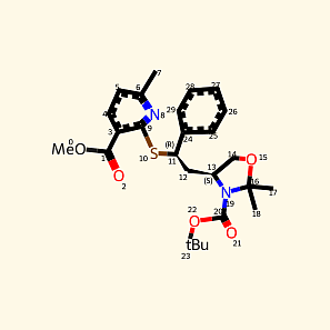 COC(=O)c1ccc(C)nc1S[C@H](C[C@H]1COC(C)(C)N1C(=O)OC(C)(C)C)c1ccccc1